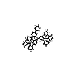 c1ccc(-c2cccc(N(c3ccc4c(c3)-c3ccccc3C4(c3ccccc3)c3ccccc3)c3ccc4c(c3)C(c3ccccc3)(c3ccccc3)c3ccccc3-4)c2)cc1